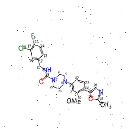 COc1cc(N2CCN(C(=O)NCc3ccc(F)c(Cl)c3)CC2)ccc1-c1cnc(C)o1